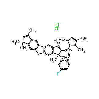 CC1=CC(C)(C)c2cc3c(cc21)-c1cc2c(cc1C3)C(C)(C)[C]([Zr+2](=[CH]c1ccc(F)cc1)[C]1=C(C)C(C(C)(C)C)=CC1C)=C2C.[Cl-].[Cl-]